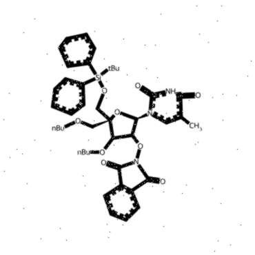 CCCCOC[C@@]1(CO[Si](c2ccccc2)(c2ccccc2)C(C)(C)C)O[C@@H](n2cc(C)c(=O)[nH]c2=O)C(ON2C(=O)c3ccccc3C2=O)C1OCCCC